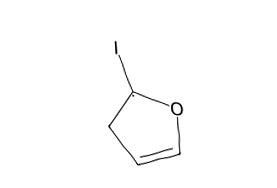 I[C]1CC=CO1